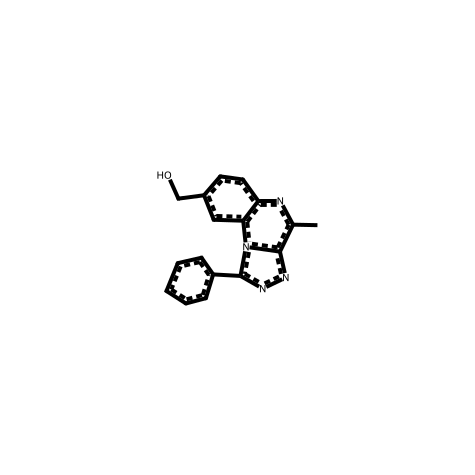 Cc1nc2ccc(CO)cc2n2c(-c3ccccc3)nnc12